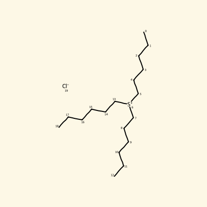 CCCCCC[S+](CCCCCC)CCCCCC.[Cl-]